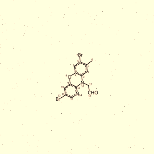 Cc1cc2c(cc1Br)Oc1cc(Br)cnc1N2CC=O